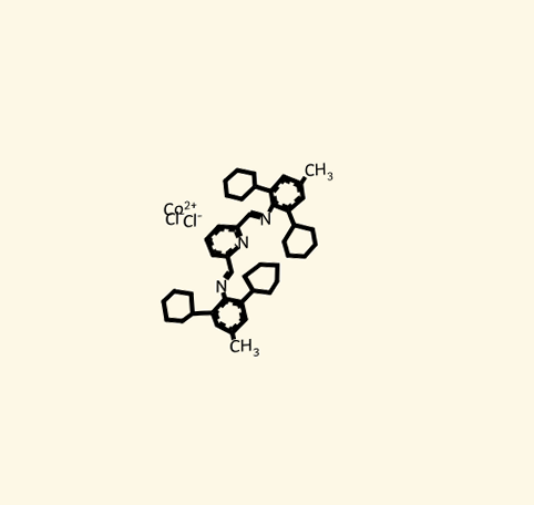 Cc1cc(C2CCCCC2)c(N=Cc2cccc(C=Nc3c(C4CCCCC4)cc(C)cc3C3CCCCC3)n2)c(C2CCCCC2)c1.[Cl-].[Cl-].[Co+2]